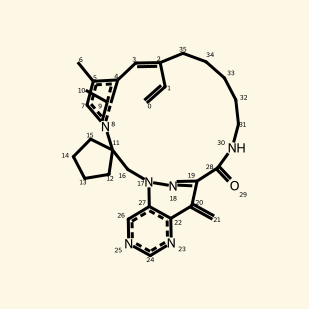 C=C/C1=C\c2c(C)cn(c2C)C2(CCCC2)CN2N=C(C(=C)c3ncncc32)C(=O)NCCCCC1